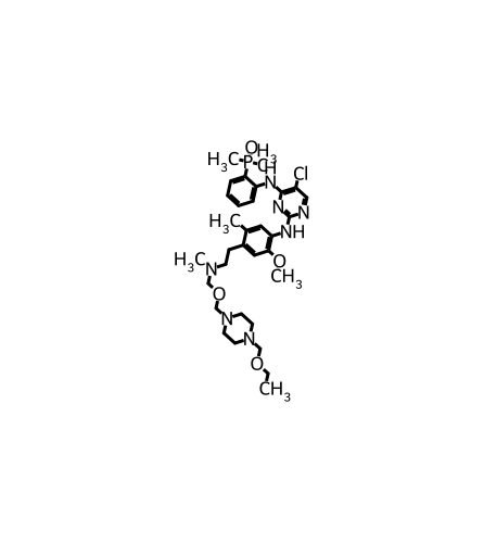 CCOCN1CCN(COCN(C)CCc2cc(OC)c(Nc3ncc(Cl)c(Nc4ccccc4P(C)(C)=O)n3)cc2C)CC1